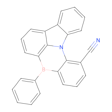 N#Cc1cccc2c1-n1c3ccccc3c3cccc(c31)B2c1ccccc1